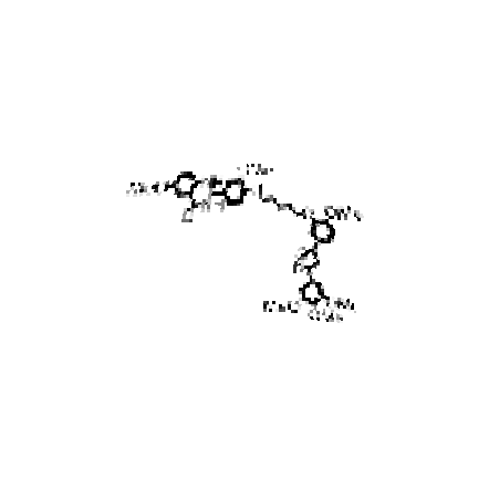 COc1ccc2c(c1)C(=O)NC(c1ccc(OCCCCCOc3cc(C4CC(c5cc(OC)c(OC)c(OC)c5)=NO4)ccc3OC)c(OC)c1)N2